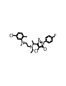 CCN(CCN(C)c1cc(Cl)ccc1C)C(C)c1c(Cl)c(=O)n(-c2ccc(F)cc2)n1C